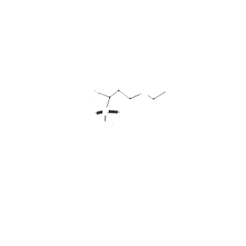 CCOCCC(N)S(=O)(=O)O